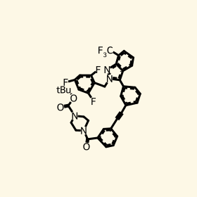 CC(C)(C)OC(=O)N1CCN(C(=O)c2cccc(C#Cc3cccc(-c4c5cccc(C(F)(F)F)c5nn4Cc4c(F)cc(F)cc4F)c3)c2)CC1